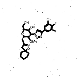 COC1C(CC2=NOC3(CCCCC3)C2)OC(CO)C(O)C1n1cc(-c2cc(F)c(F)c(Cl)c2)nn1